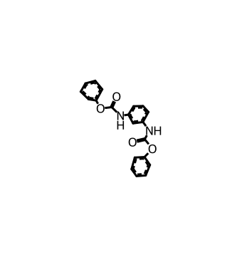 O=C(Nc1cccc(NC(=O)Oc2ccccc2)c1)Oc1ccccc1